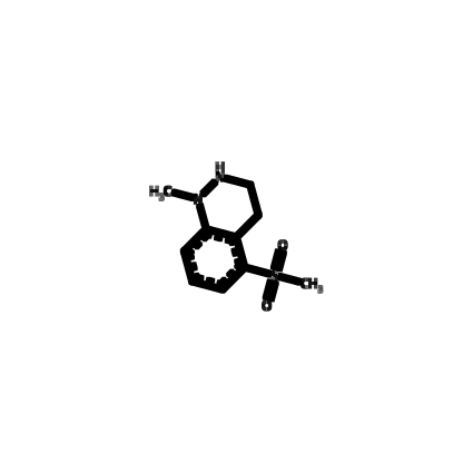 CN1NCCc2c1cccc2S(C)(=O)=O